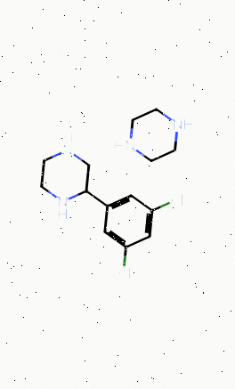 C1CNCCN1.Clc1cc(Cl)cc(C2CNCCN2)c1